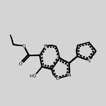 CCOC(=O)c1ncc2c(-c3cccs3)noc2c1O